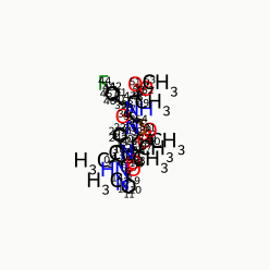 CCC(C)C(NC(=O)C1CCCCN1C)C(=O)N(Cc1ccccc1)C(CC(OC(C)=O)c1nc(C(=O)NC(Cc2ccc(F)cc2)CC(C)C(=O)OC)cs1)C(C)C